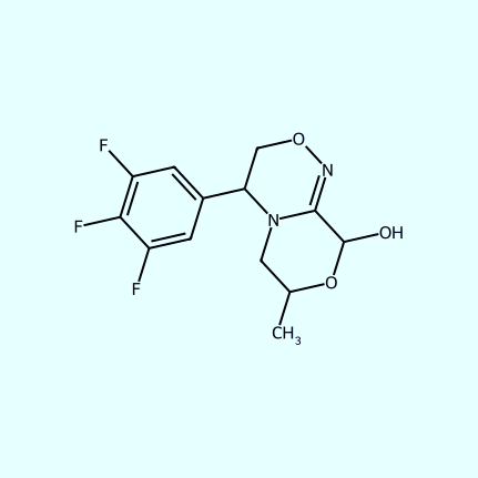 CC1CN2C(=NOCC2c2cc(F)c(F)c(F)c2)C(O)O1